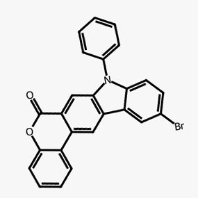 O=c1oc2ccccc2c2cc3c4cc(Br)ccc4n(-c4ccccc4)c3cc12